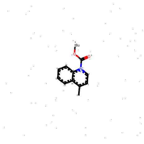 Cc1cc[n+](C(=O)OC(C)(C)C)c2ccccc12